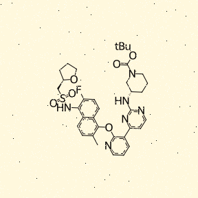 Cc1ccc2c(NS(=O)(=O)C[C@H]3CCCO3)c(F)ccc2c1Oc1ncccc1-c1ccnc(N[C@H]2CCCN(C(=O)OC(C)(C)C)C2)n1